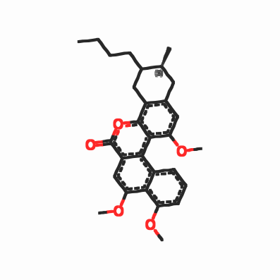 CCCCC1Cc2c(cc(OC)c3c2oc(=O)c2cc(OC)c4c(OC)cccc4c23)C[C@@H]1C